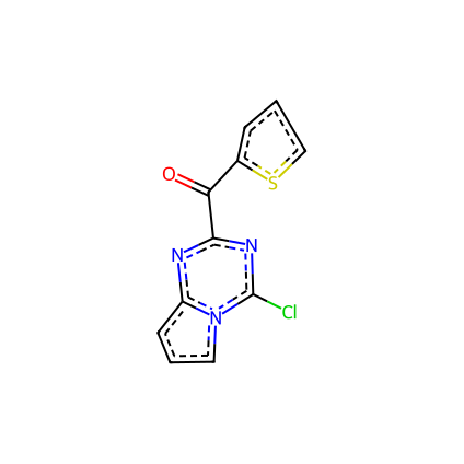 O=C(c1nc(Cl)n2cccc2n1)c1cccs1